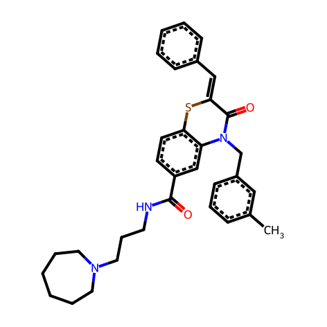 Cc1cccc(CN2C(=O)C(=Cc3ccccc3)Sc3ccc(C(=O)NCCCN4CCCCCC4)cc32)c1